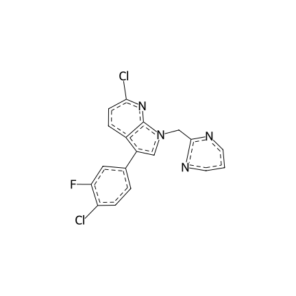 Fc1cc(-c2cn(Cc3ncccn3)c3nc(Cl)ccc23)ccc1Cl